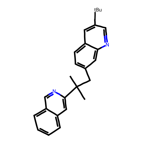 CC(C)(C)c1cnc2cc(CC(C)(C)c3cc4ccccc4cn3)ccc2c1